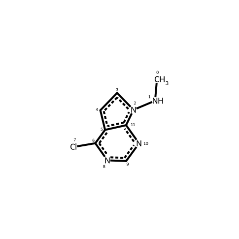 CNn1ccc2c(Cl)ncnc21